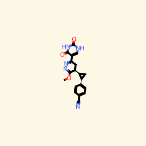 COC1=NN=C(c2c[nH]c(=O)[nH]c2=O)CC1[C@H]1C[C@@H]1c1ccc(C#N)cc1